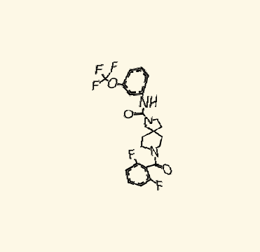 O=C(Nc1cccc(OC(F)(F)F)c1)N1CCC2(CCN(C(=O)c3c(F)cccc3F)CC2)C1